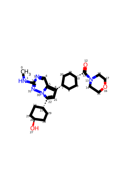 CNc1ncc2c([C@H]3CC[C@@H](C(=O)N4CCOCC4)CC3)cc([C@H]3CC[C@H](O)CC3)n2n1